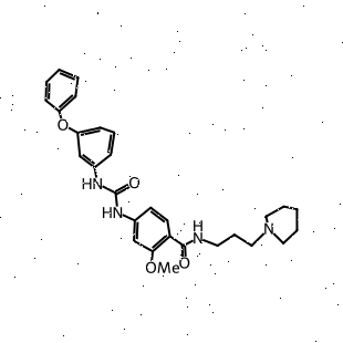 COc1cc(NC(=O)Nc2cccc(Oc3ccccc3)c2)ccc1C(=O)NCCCN1CCCCC1